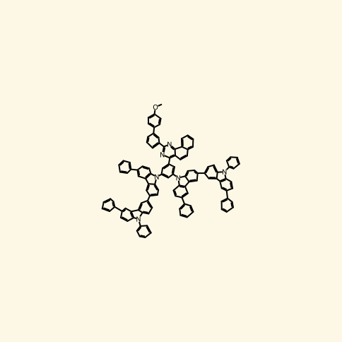 COc1ccc(-c2cccc(-c3nc(-c4cc(-n5c6ccc(-c7ccccc7)cc6c6cc(-c7ccc8c(c7)c7cc(-c9ccccc9)ccc7n8-c7ccccc7)ccc65)cc(-n5c6ccc(-c7ccccc7)cc6c6cc(-c7ccc8c(c7)c7cc(-c9ccccc9)ccc7n8-c7ccccc7)ccc65)c4)c4ccc5ccccc5c4n3)c2)cc1